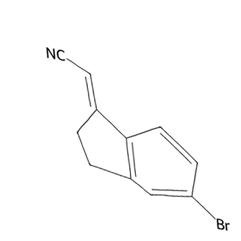 N#CC=C1CCc2cc(Br)ccc21